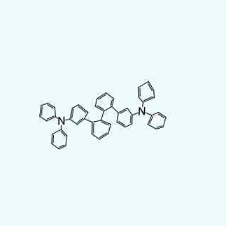 c1ccc(N(c2ccccc2)c2cccc(-c3ccccc3-c3ccccc3-c3cccc(N(c4ccccc4)c4ccccc4)c3)c2)cc1